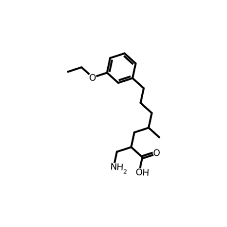 CCOc1cccc(CCCC(C)CC(CN)C(=O)O)c1